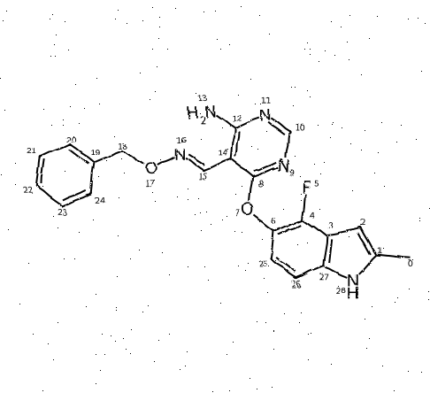 Cc1cc2c(F)c(Oc3ncnc(N)c3/C=N/OCc3ccccc3)ccc2[nH]1